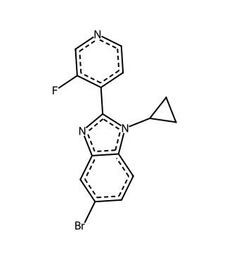 Fc1cnccc1-c1nc2cc(Br)ccc2n1C1CC1